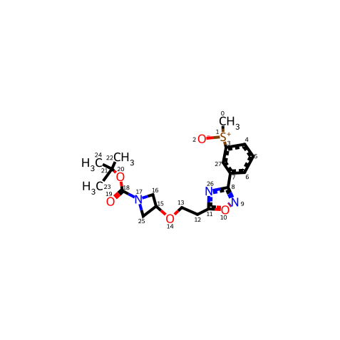 C[S+]([O-])c1cccc(-c2noc(CCOC3CN(C(=O)OC(C)(C)C)C3)n2)c1